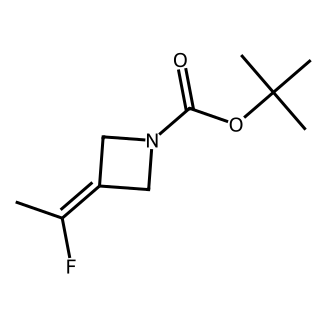 CC(F)=C1CN(C(=O)OC(C)(C)C)C1